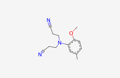 COc1ccc(C)cc1N(CCC#N)CCC#N